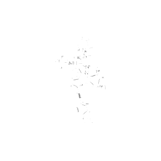 Cc1ccc(C#Cc2ccc(-c3c(CNC4COC4)c(C(=O)NN4CCCCC4)nn3-c3ccc(Cl)cc3Cl)s2)cc1